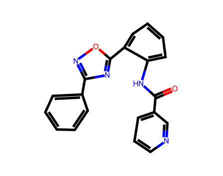 O=C(Nc1ccccc1-c1nc(-c2ccccc2)no1)c1cccnc1